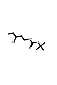 CCC(O)CCNC(=O)OC(C)(C)C